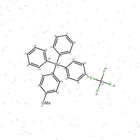 COc1cc[c]([Sb+]([c]2ccccc2)([c]2ccccc2)[c]2ccccc2)cc1.F[B-](F)(F)F